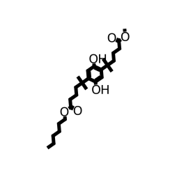 CCCCCCOC(=O)CCCC(C)(C)c1cc(O)c(C(C)(C)CCCC(=O)OC)cc1O